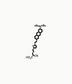 CCCCN(CCCC)c1ccc2cc3cc(/C=C/c4ccc(/C=C/C=C(\C#N)C(=O)O)s4)ccc3cc2c1